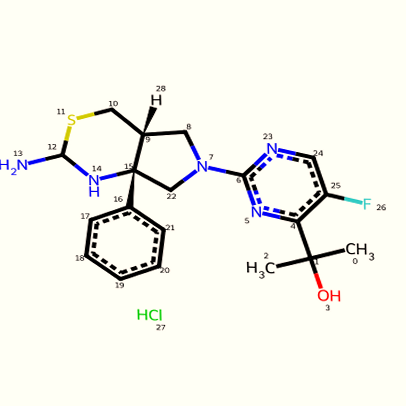 CC(C)(O)c1nc(N2C[C@H]3CSC(N)N[C@@]3(c3ccccc3)C2)ncc1F.Cl